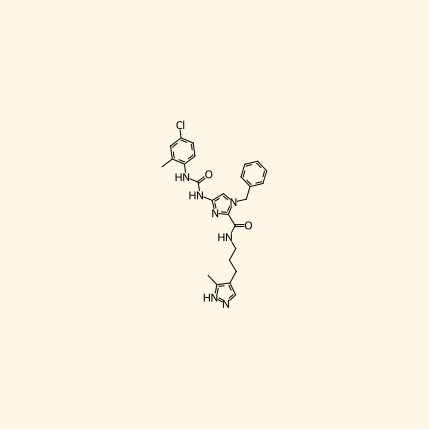 Cc1cc(Cl)ccc1NC(=O)Nc1cn(Cc2ccccc2)c(C(=O)NCCCc2cn[nH]c2C)n1